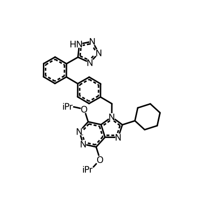 CC(C)Oc1nnc(OC(C)C)c2c1nc(C1CCCCC1)n2Cc1ccc(-c2ccccc2-c2nnn[nH]2)cc1